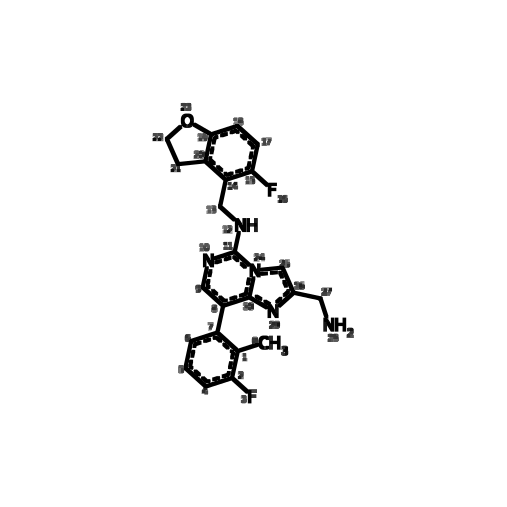 Cc1c(F)cccc1-c1cnc(NCc2c(F)ccc3c2CCO3)n2cc(CN)nc12